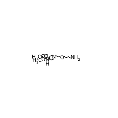 CC(C)(C)OC(=O)NC1CCN(CCCOCCCCN)CC1